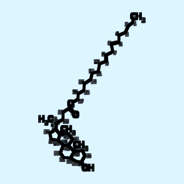 CCCCCC=CCC=CCCCCCCCCOC(=O)CC[C@@H](C)C1CCC2C3CCC4C[C@H](O)CC[C@]4(C)C3CC[C@@]21C